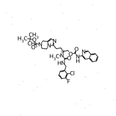 CN(C(=O)NCc1cccc(F)c1Cl)[C@@H](CCc1ncc2n1CCN(C(=O)OC(C)(C)C)C2)COC(=O)Nc1cc2ccccc2cn1